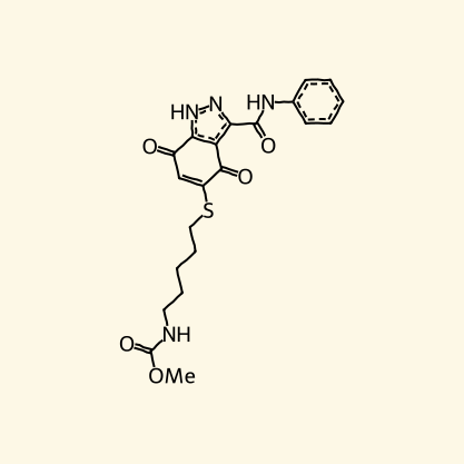 COC(=O)NCCCCCSC1=CC(=O)c2[nH]nc(C(=O)Nc3ccccc3)c2C1=O